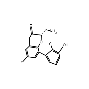 NC[C@@H]1Oc2c(cc(F)cc2-c2cccc(O)c2Cl)CC1=O